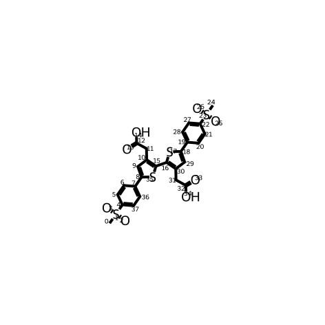 CS(=O)(=O)c1ccc(-c2cc(CC(=O)O)c(-c3sc(-c4ccc(S(C)(=O)=O)cc4)cc3CC(=O)O)s2)cc1